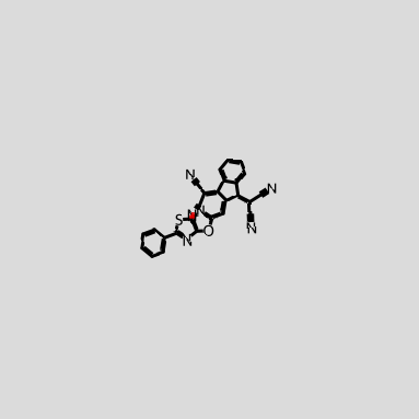 N#CC(C#N)=C1C(=Cc2nc3sc(-c4ccccc4)nc3o2)C(=C(C#N)C#N)c2ccccc21